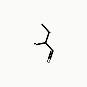 C[CH]C(F)C=O